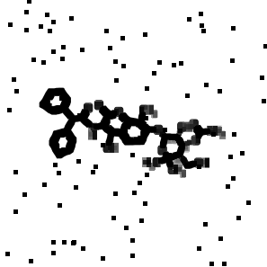 Cc1c(O[C@@H]2OC(C)(C)[C@H](CO)[C@@H](OC(N)=O)[C@H]2O)ccc2c(O)c(NC(=O)C(c3ccccc3)c3ccccc3)c(=O)oc12